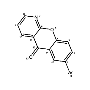 CC(=O)c1ccc2oc3ncccc3c(=O)c2c1